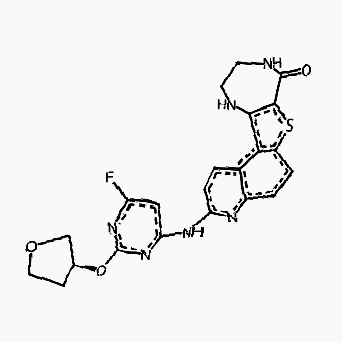 O=C1NCCNc2c1sc1ccc3nc(Nc4cc(F)nc(O[C@H]5CCOC5)n4)ccc3c21